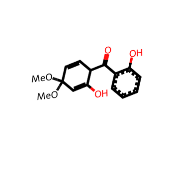 COC1(OC)C=CC(C(=O)c2ccccc2O)C(O)=C1